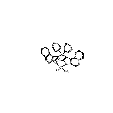 CC1=C2c3c(ccc4ccccc34)[CH]1[Zr]([CH3])([CH3])[CH]1C(C)=C(c3c1ccc1ccccc31)[Si]2(c1ccccc1)c1ccccc1